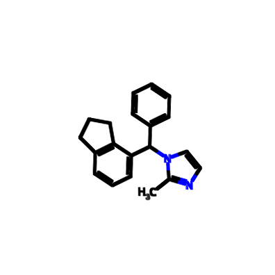 Cc1nccn1C(c1ccccc1)c1cccc2c1CCC2